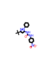 CC(C)(C)c1cc(NC(=O)Nc2ccc([N+](=O)[O-])cc2)n(-c2ccccc2)n1